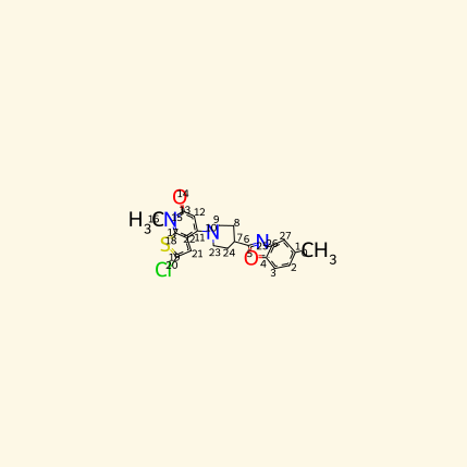 Cc1ccc2oc(C3CCN(c4cc(=O)n(C)c5sc(Cl)cc45)CC3)nc2c1